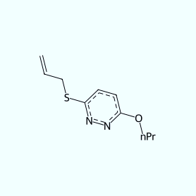 C=CCSc1ccc(OCCC)nn1